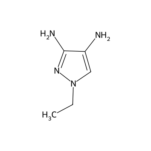 CCn1cc(N)c(N)n1